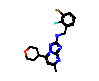 Cc1cc(C2CCOCC2)n2nc(NCc3cccc(Br)c3F)nc2n1